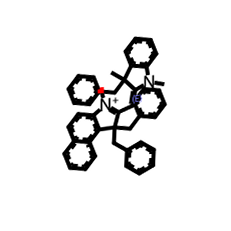 CN1/C(=C/C2=[N+](C)c3ccc4ccccc4c3C2(Cc2ccccc2)Cc2ccccc2)C(C)(Cc2ccccc2)c2ccccc21